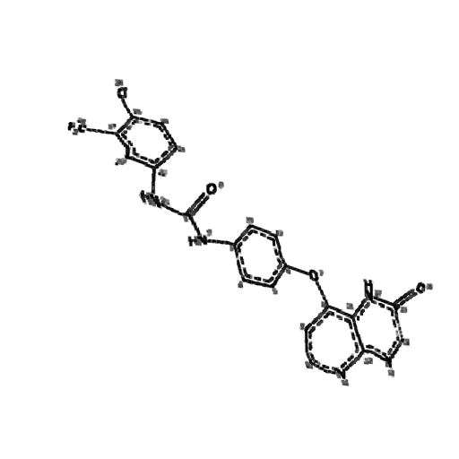 O=C(Nc1ccc(Oc2ccnc3ncc(=O)[nH]c23)cc1)Nc1ccc(Cl)c(C(F)(F)F)c1